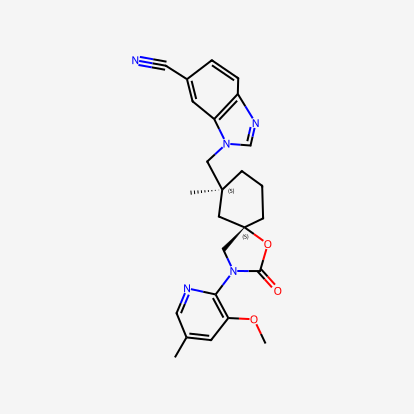 COc1cc(C)cnc1N1C[C@@]2(CCC[C@](C)(Cn3cnc4ccc(C#N)cc43)C2)OC1=O